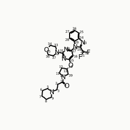 O=C(CCN1CCCCC1)N1CC[C@H](Oc2cc(-n3c(C(F)F)nc4ccccc43)nc(N3CCOCC3)n2)C1